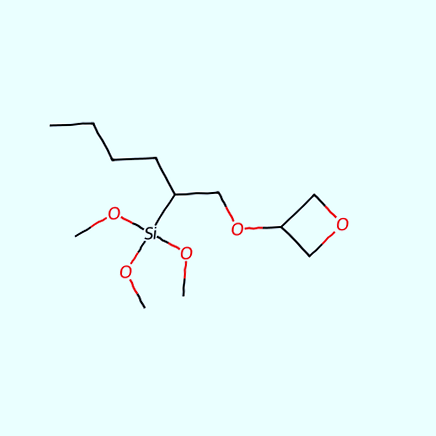 CCCCC(COC1COC1)[Si](OC)(OC)OC